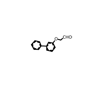 O=[C]COc1cccc(-c2ccccc2)c1